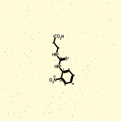 O=C(O)CCNC(=S)Nc1ccccc1[N+](=O)[O-]